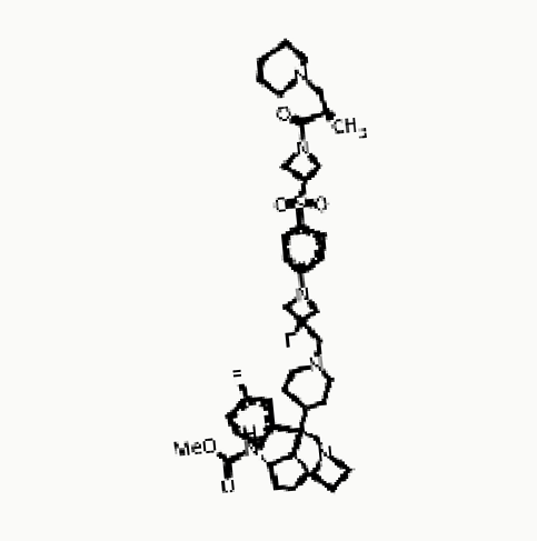 C=C(CN1CCCCC1)C(=O)N1CC(S(=O)(=O)c2ccc(N3CC(F)(CN4CCC([C@@](CN5CCC5)(c5cccc(F)c5)[C@H]5CCC[C@@H]5NC(=O)OC)CC4)C3)cc2)C1